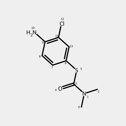 CN(C)C(=O)Sc1ccc(N)c(Cl)c1